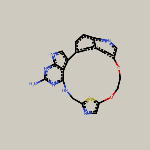 Nc1nc2c3c(c[nH]c3n1)-c1ccc3ncc(cc3c1)OCCOc1cnc(s1)CN2